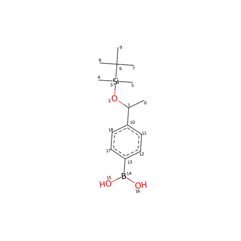 CC(O[Si](C)(C)C(C)(C)C)c1ccc(B(O)O)cc1